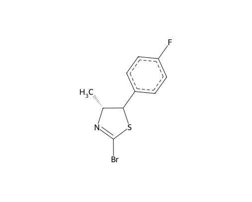 C[C@H]1N=C(Br)SC1c1ccc(F)cc1